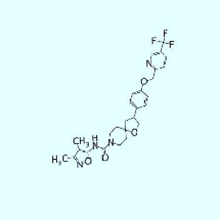 Cc1noc(NC(=O)N2CCC3(CC2)CC(c2ccc(OCc4ccc(C(F)(F)F)cn4)cc2)CO3)c1C